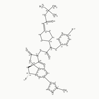 Cn1cc(-c2ccc3c(c2)[C@H](F)C[C@]32OC(=O)N(CC(=O)N(Cc3ccc(F)cc3)C3CCC(=CC(=O)OC(C)(C)C)CC3)C2=O)cn1